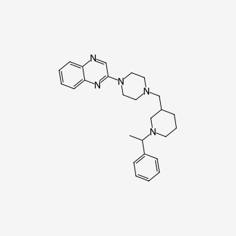 CC(c1ccccc1)N1CCCC(CN2CCN(c3cnc4ccccc4n3)CC2)C1